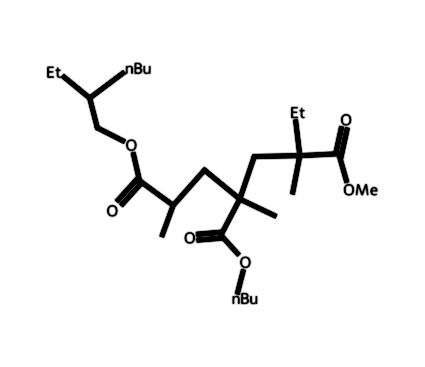 CCCCOC(=O)C(C)(CC(C)C(=O)OCC(CC)CCCC)CC(C)(CC)C(=O)OC